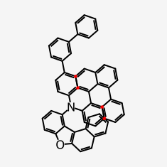 c1ccc(-c2cccc(-c3ccc(N(c4ccccc4-c4cccc5cccc(-c6ccccc6)c45)c4cccc5oc6ccc7ccccc7c6c45)cc3)c2)cc1